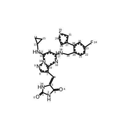 O=C1NC(=O)/C(=C/c2cnn3c(NC4CC4)cc(NCc4ccc(F)cc4-c4ccsc4)nc23)N1